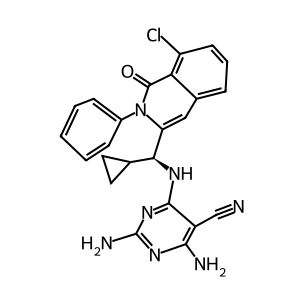 N#Cc1c(N)nc(N)nc1N[C@H](c1cc2cccc(Cl)c2c(=O)n1-c1ccccc1)C1CC1